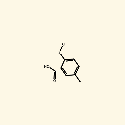 Cc1ccc(SCl)cc1.O=CO